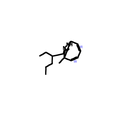 CCCC(CC)C1=NNC2C=CC1(C)/C=C\C=C/2